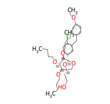 CCCCO[C@@H]1[C@@H](OCCCC)[C@@]2(c3ccc(Cl)c(Cc4ccc(OCC)cc4)c3)OC[C@](CCO)(O2)[C@H]1OCCCC